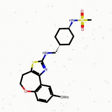 COc1ccc2c(c1)-c1nc(NC[C@H]3CC[C@H](NS(C)(=O)=O)CC3)sc1CCO2